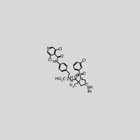 CC(C)N[C@H]1CN(S(=O)(=O)c2cccc(Cl)c2)C(C)(C(=O)N[C@@H](Cc2ccc(NC(=O)c3c(Cl)cncc3Cl)cc2)C(=O)O)C1